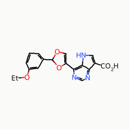 CCOc1cccc(C2OC=C(c3ncnc4c(C(=O)O)c[nH]c34)O2)c1